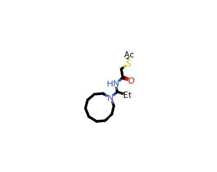 CCC(NC(=O)CSC(C)=O)N1CCCCCCCCC1